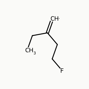 [CH]=C(CC)CCF